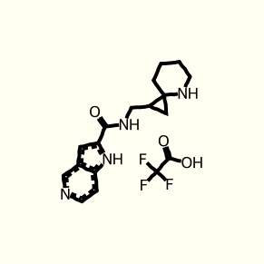 O=C(NCC1CC12CCCCN2)c1cc2cnccc2[nH]1.O=C(O)C(F)(F)F